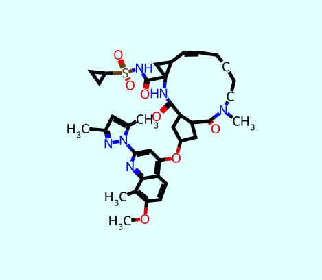 COc1ccc2c(OC3CC4C(=O)NC5(C(=O)NS(=O)(=O)C6CC6)CC5C=CCCCCN(C)C(=O)C4C3)cc(-n3nc(C)cc3C)nc2c1C